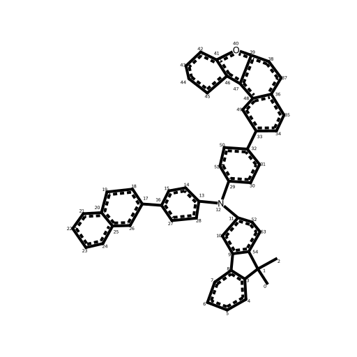 CC1(C)c2ccccc2-c2cc(N(c3ccc(-c4ccc5ccccc5c4)cc3)c3ccc(-c4ccc5ccc6oc7ccccc7c6c5c4)cc3)ccc21